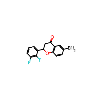 Bc1ccc2c(c1)C(=O)CC(c1cccc(F)c1F)O2